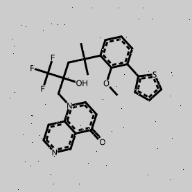 COc1c(-c2cccs2)cccc1C(C)(C)CC(O)(Cn1ccc(=O)c2cnccc21)C(F)(F)F